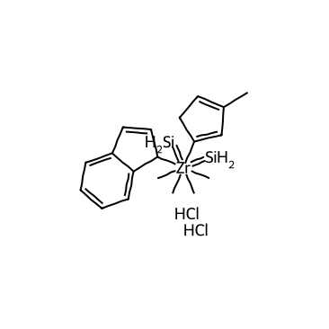 CC1=CC[C]([Zr]([CH3])([CH3])([CH3])([CH3])(=[SiH2])(=[SiH2])[CH]2C=Cc3ccccc32)=C1.Cl.Cl